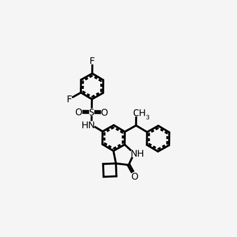 CC(c1ccccc1)c1cc(NS(=O)(=O)c2ccc(F)cc2F)cc2c1NC(=O)C21CCC1